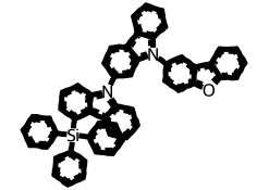 c1ccc([Si](c2ccccc2)(c2ccccc2)c2cccc3c2c2ccccc2n3-c2ccc3c4ccccc4n(-c4ccc5oc6ccccc6c5c4)c3c2)cc1